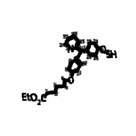 CCOC(=O)CCCCCOc1ccc(C(c2ccc(OS)cc2)c2ccccn2)cc1